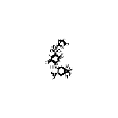 CN(C)[C@@H]1C[C@H]2[C@@H](C[C@H]1Nc1cc(F)c(S(=O)(=O)Nc3nccs3)cc1Cl)C2(Cl)Cl